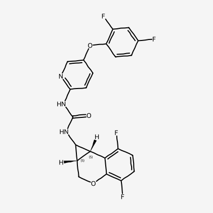 O=C(Nc1ccc(Oc2ccc(F)cc2F)cn1)NC1[C@H]2COc3c(F)ccc(F)c3[C@@H]12